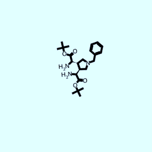 CC(C)(C)OC(=O)C(N)[C@@H]1CN(Cc2ccccc2)C[C@H]1C(N)C(=O)OC(C)(C)C